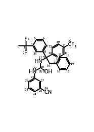 CC(F)(F)c1cccc(C(Cc2ccccc2)(N[C@@H](O)Nc2cccc(C#N)c2)c2ccc(C(F)(F)F)cn2)c1